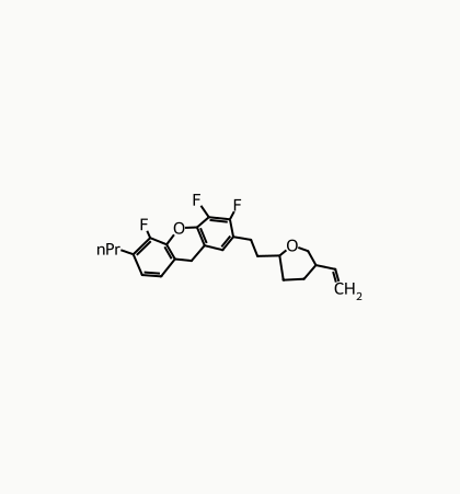 C=CC1CCC(CCc2cc3c(c(F)c2F)Oc2c(ccc(CCC)c2F)C3)OC1